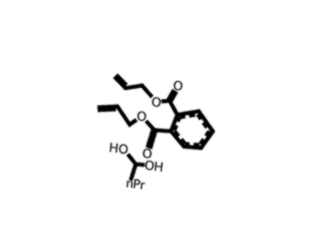 C=CCOC(=O)c1ccccc1C(=O)OCC=C.CCCC(O)O